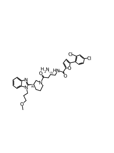 COCCCn1c([C@@H]2CCCN(C(=O)C[C@H](N)CNC(=O)c3ccc(-c4ccc(Cl)cc4Cl)o3)C2)nc2ccccc21